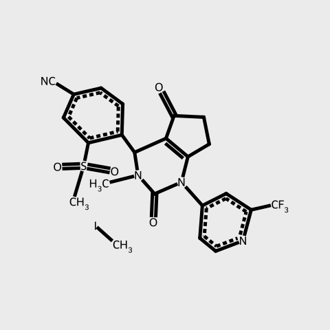 CI.CN1C(=O)N(c2ccnc(C(F)(F)F)c2)C2=C(C(=O)CC2)C1c1ccc(C#N)cc1S(C)(=O)=O